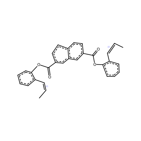 C/C=C\c1ccccc1OC(=O)c1ccc2ccc(C(=O)Oc3ccccc3/C=C\C)cc2c1